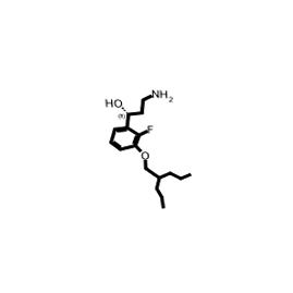 CCCC(CCC)COc1cccc([C@H](O)CCN)c1F